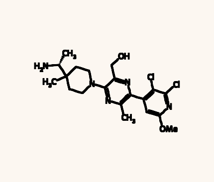 COc1cc(-c2nc(CO)c(N3CCC(C)([C@@H](C)N)CC3)nc2C)c(Cl)c(Cl)n1